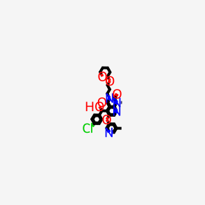 Cc1cncc(Oc2cnc3c(c2C(O)c2ccc(Cl)cc2)c(=O)n(CCCOC2CCCCO2)c(=O)n3C)c1